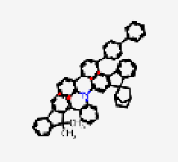 CC1(C)c2ccccc2-c2cccc(-c3ccccc3N(c3ccc4c(c3)C3(CC5CCC3C5)c3ccccc3-4)c3ccccc3-c3ccc(-c4ccc(-c5ccccc5)cc4)cc3)c21